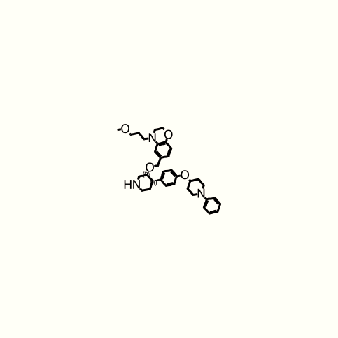 COCCCN1CCOc2ccc(CO[C@H]3CNCC[C@@H]3c3ccc(OC4CCN(c5ccccc5)CC4)cc3)cc21